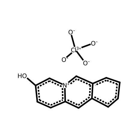 Oc1ccc2cc3ccccc3c[n+]2c1.[O-][Cl+3]([O-])([O-])[O-]